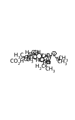 C=C(C)[C@@H]1CC[C@]2(CC(=O)N3CCC[C@H]3CN(C)C)CC[C@]3(C)[C@H](CC[C@@H]4[C@@]5(C)CC[C@H](OC(=O)CC(C)(C)CC(=O)O)C(C)(C)[C@@H]5CC[C@]43C)[C@@H]12